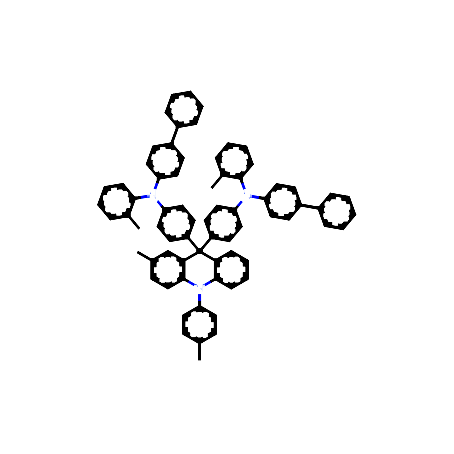 Cc1ccc(N2c3ccccc3C(c3ccc(N(c4ccc(-c5ccccc5)cc4)c4ccccc4C)cc3)(c3ccc(N(c4ccc(-c5ccccc5)cc4)c4ccccc4C)cc3)c3cc(C)ccc32)cc1